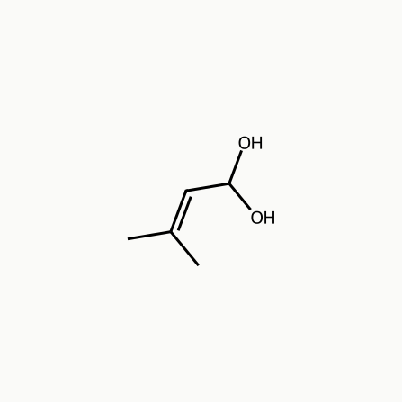 CC(C)=CC(O)O